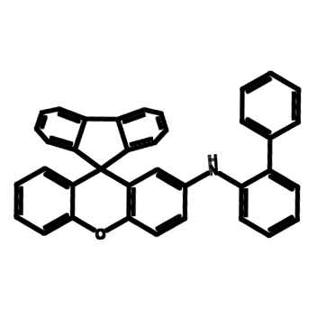 c1ccc(-c2ccccc2Nc2ccc3c(c2)C2(c4ccccc4O3)c3ccccc3-c3ccccc32)cc1